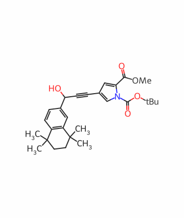 COC(=O)c1cc(C#CC(O)c2ccc3c(c2)C(C)(C)CCC3(C)C)cn1C(=O)OC(C)(C)C